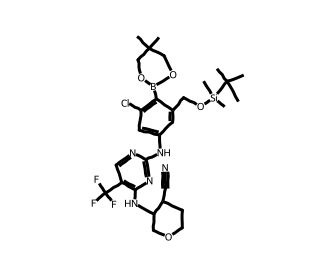 CC1(C)COB(c2c(Cl)cc(Nc3ncc(C(F)(F)F)c(NC4COCCC4C#N)n3)cc2CO[Si](C)(C)C(C)(C)C)OC1